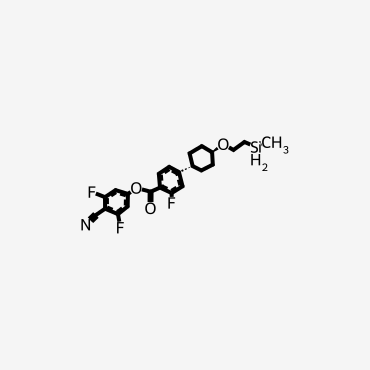 C[SiH2]CCO[C@H]1CC[C@H](c2ccc(C(=O)Oc3cc(F)c(C#N)c(F)c3)c(F)c2)CC1